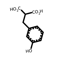 O=C(O)C(Cc1cccc(O)c1)C(=O)O